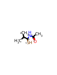 CC(=O)NC(S)C(C)C